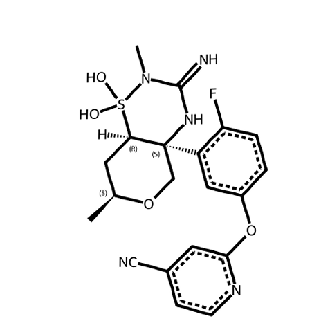 C[C@H]1C[C@@H]2[C@](c3cc(Oc4cc(C#N)ccn4)ccc3F)(CO1)NC(=N)N(C)S2(O)O